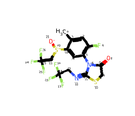 Cc1cc(F)c(N2C(=O)CS/C2=N/CC(F)(F)F)cc1[S+]([O-])CC(F)(F)F